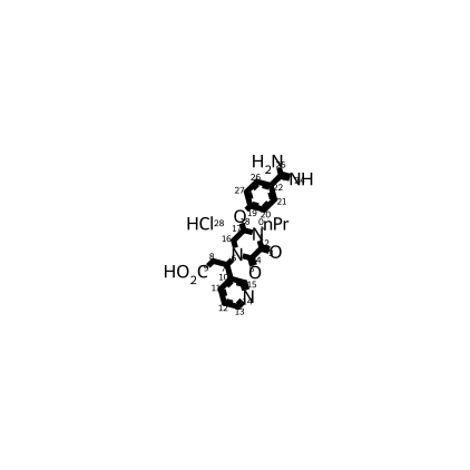 CCCN1C(=O)C(=O)N(C(CC(=O)O)c2cccnc2)CC1Oc1ccc(C(=N)N)cc1.Cl